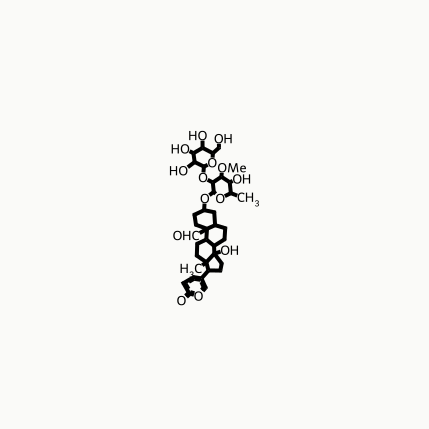 COC1C(O)C(C)OC(OC2CCC3(C=O)C(CCC4C3CCC3(C)C(c5ccc(=O)oc5)CCC43O)C2)C1OC1OC(CO)C(O)C(O)C1O